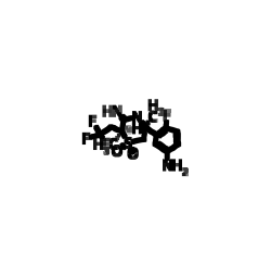 C[C@]1(CC(F)(F)F)C(=N)N[C@](C)(c2cc(N)ccc2F)CS1(=O)=O